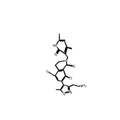 Cc1cc(C)c(CN2CCc3c(Cl)cc(-c4c(CN)noc4C)c(Cl)c3C2=O)c(=O)[nH]1